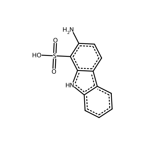 Nc1ccc2c([nH]c3ccccc32)c1S(=O)(=O)O